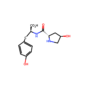 O=C(O)[C@H](Cc1ccc(O)cc1)NC(=O)[C@@H]1C[C@@H](O)CN1